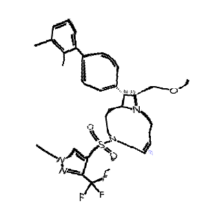 COC[C@@H]1[C@@H](c2ccc(-c3cccc(C)c3C)cc2)C2CN(S(=O)(=O)c3cn(C)nc3C(F)(F)F)C/C=C\CN21